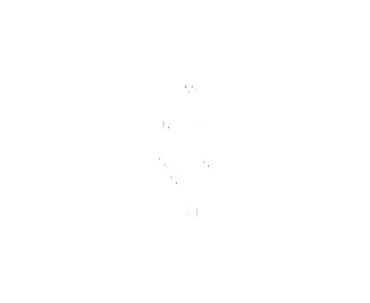 CSc1nc2nnc(CCl)nc2o1